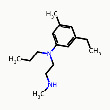 CCCN(CCNC)c1cc(C)cc(CC)c1